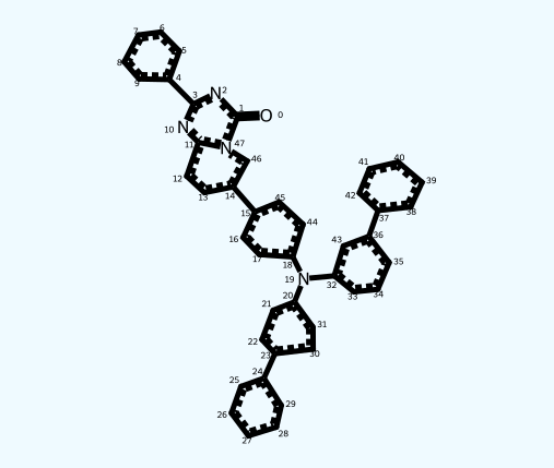 O=c1nc(-c2ccccc2)nc2ccc(-c3ccc(N(c4ccc(-c5ccccc5)cc4)c4cccc(-c5ccccc5)c4)cc3)cn12